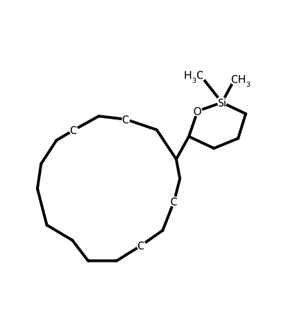 C[Si]1(C)CCCC(C2CCCCCCCCCCCCCCC2)O1